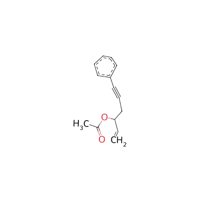 C=CC(CC#Cc1ccccc1)OC(C)=O